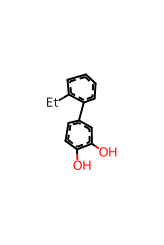 CCc1ccccc1-c1ccc(O)c(O)c1